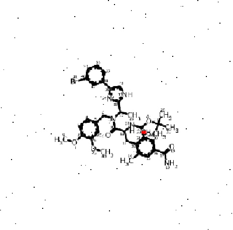 COc1ccc(CN(C(=O)C(Cc2c(C)cc(C(N)=O)cc2C)NC(=O)OC(C)(C)C)C(C)c2nc(-c3cccc(Br)c3)c[nH]2)cc1OC